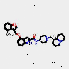 COc1cccc2occ(COc3cccc4[nH]c(C(=O)NC5CCN(C[C@@H]6CCCN7CCCC[C@H]67)CC5)cc34)c12